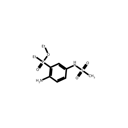 CCOP(=O)(CC)c1cc(NS(C)(=O)=O)ccc1N